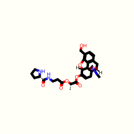 C[C@H](OC(=O)CCNC(=O)[C@@H]1CCCN1)C(=O)OC1=CC[C@@]2(O)[C@H]3Cc4ccc(CO)c5c4[C@@]2(CCN3C)[C@H]1O5